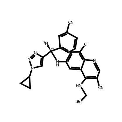 [2H][C@](Nc1cc(Cl)c2ncc(C#N)c(NCC(C)(C)C)c2c1)(c1cccc(C#N)c1)c1cn(C2CC2)nn1